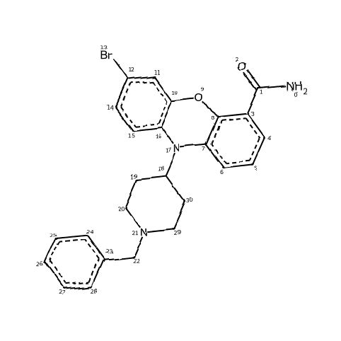 NC(=O)c1cccc2c1Oc1cc(Br)ccc1N2C1CCN(Cc2ccccc2)CC1